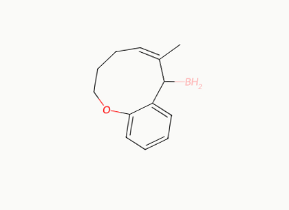 BC1/C(C)=C\CCCOc2ccccc21